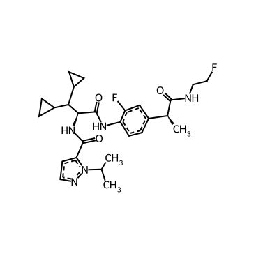 CC(C)n1nccc1C(=O)N[C@H](C(=O)Nc1ccc([C@H](C)C(=O)NCCF)cc1F)C(C1CC1)C1CC1